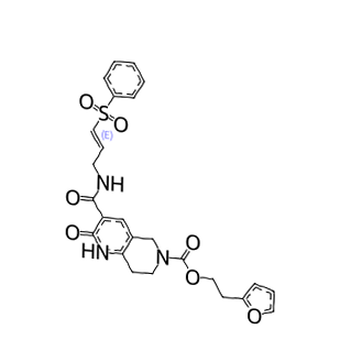 O=C(NC/C=C/S(=O)(=O)c1ccccc1)c1cc2c([nH]c1=O)CCN(C(=O)OCCc1ccco1)C2